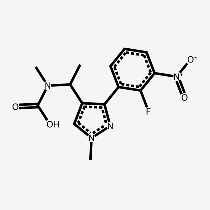 CC(c1cn(C)nc1-c1cccc([N+](=O)[O-])c1F)N(C)C(=O)O